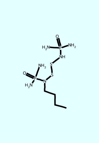 CCCCN(SSNP(N)(N)=O)P(N)(N)=O